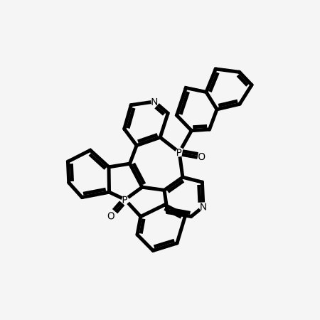 O=P1(c2ccccc2)C2=C(c3ccccc31)c1ccncc1P(=O)(c1ccc3ccccc3c1)c1cnccc12